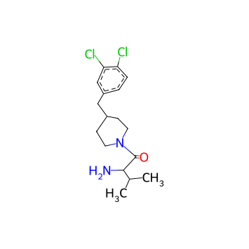 CC(C)C(N)C(=O)N1CCC(Cc2ccc(Cl)c(Cl)c2)CC1